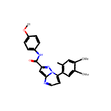 CCOc1ccc(NC(=O)c2cc3nccc(-c4cc(OC)c(OC)cc4C)n3n2)cc1